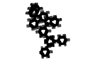 c1ccc(-c2nc(-c3ccccc3)nc(-c3cccc(-n4c5ccccc5c5ccc6c(c54)-c4ccccc4C64C5CC6CC(C5)CC4C6)c3)n2)cc1